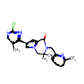 Cc1cnc(Cl)nc1-c1cc2n(c1)CC(C)(C)N(Cc1cccc(C(F)(F)F)n1)C2=O